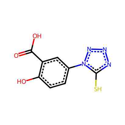 O=C(O)c1cc(-n2nnnc2S)ccc1O